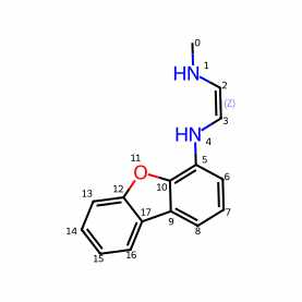 CN/C=C\Nc1cccc2c1oc1ccccc12